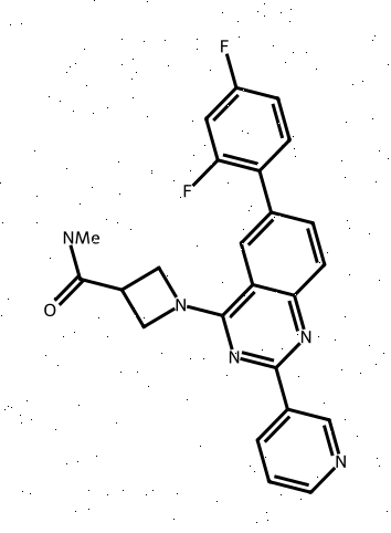 CNC(=O)C1CN(c2nc(-c3cccnc3)nc3ccc(-c4ccc(F)cc4F)cc23)C1